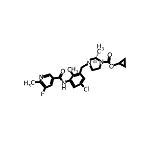 Cc1ncc(C(=O)Nc2cc(Cl)cc(CN3CCN(C(=O)OC4CC4)[C@@H](C)C3)c2C)cc1F